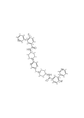 O=C(NC1CCN(Cc2ccc(N3CCC(NC(=O)c4ccc(F)c(-c5cccnc5)c4)CC3)nc2)CC1)c1ccc(F)c(-c2cccnc2)c1